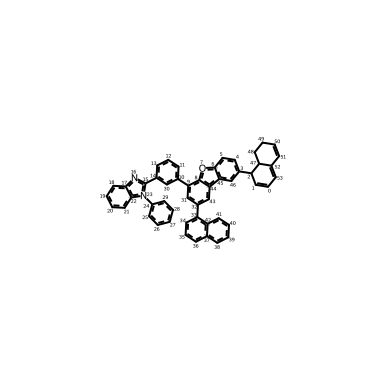 C1=CC(c2ccc3oc4c(-c5cccc(-c6nc7ccccc7n6-c6ccccc6)c5)cc(-c5cccc6ccccc56)cc4c3c2)C2CCC=CC2=C1